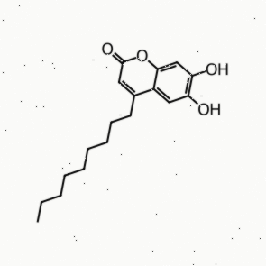 CCCCCCCCCc1cc(=O)oc2cc(O)c(O)cc12